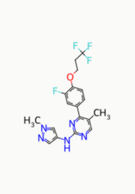 Cc1cnc(Nc2cnn(C)c2)nc1-c1ccc(OCCC(F)(F)F)c(F)c1